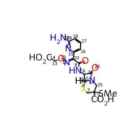 CSC1(C(=O)O)CS[C@@H]2C(NC(=O)C(=NOCC(=O)O)c3cccc(N)n3)C(=O)N2C1